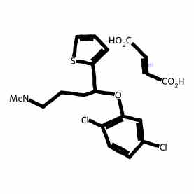 CNCCCC(Oc1cc(Cl)ccc1Cl)c1cccs1.O=C(O)/C=C/C(=O)O